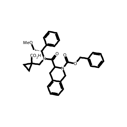 COC[C@H](c1ccccc1)N(CC1(C(=O)O)CC1)C(=O)C1Cc2ccccc2CN1C(=O)OCc1ccccc1